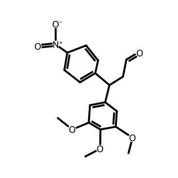 COc1cc(C(CC=O)c2ccc([N+](=O)[O-])cc2)cc(OC)c1OC